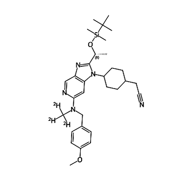 [2H]C([2H])([2H])N(Cc1ccc(OC)cc1)c1cc2c(cn1)nc([C@@H](C)O[Si](C)(C)C(C)(C)C)n2C1CCC(CC#N)CC1